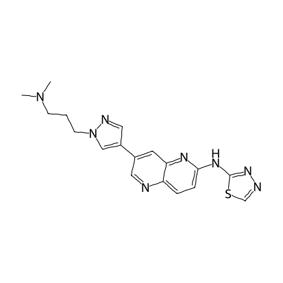 CN(C)CCCn1cc(-c2cnc3ccc(Nc4nncs4)nc3c2)cn1